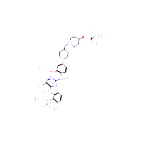 COc1cc(N2CCC(CN3CCC(C(=O)OC(C)(C)C)CC3)CC2)ccc1Nc1ncc(Cl)c(Nc2ccccc2N(C)[S+](C)[O-])n1